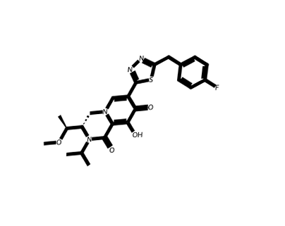 CO[C@@H](C)[C@@H]1Cn2cc(-c3nnc(Cc4ccc(F)cc4)s3)c(=O)c(O)c2C(=O)N1C(C)C